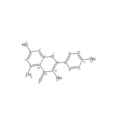 Cc1cc(O)cc2oc(-c3ccc(O)cc3)c(O)c(=O)c12